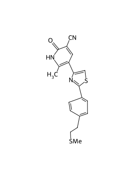 CSCCc1ccc(-c2nc(-c3cc(C#N)c(=O)[nH]c3C)cs2)cc1